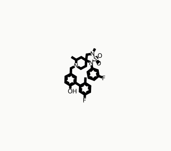 Cc1ccc(F)cc1-c1cc(CN2CCC3(CC2C)CN(C)S(=O)(=O)N3c2cccc(F)c2)ccc1O